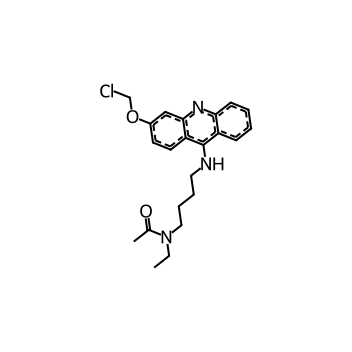 CCN(CCCCNc1c2ccccc2nc2cc(OCCl)ccc12)C(C)=O